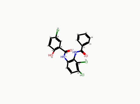 O=C(Nc1c(NC(=O)c2cc(Br)ccc2O)ccc(Cl)c1Cl)c1ccccc1